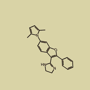 Cc1ccc(C)n1-c1ccc2c(C3=NCCN3)c(-c3ccccc3)oc2c1